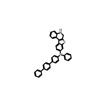 c1ccc(-c2ccc(-c3ccc(N(c4ccccc4)c4ccc5c6c(sc5c4)CNc4ccccc4-6)cc3)cc2)cc1